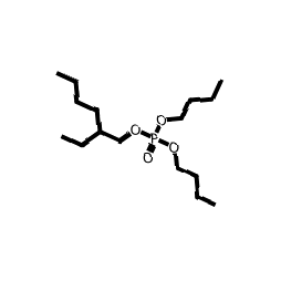 CCCCOP(=O)(OCCCC)OCC(CC)CCCC